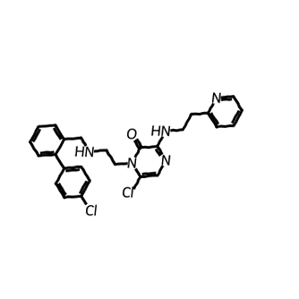 O=c1c(NCCc2ccccn2)ncc(Cl)n1CCNCc1ccccc1-c1ccc(Cl)cc1